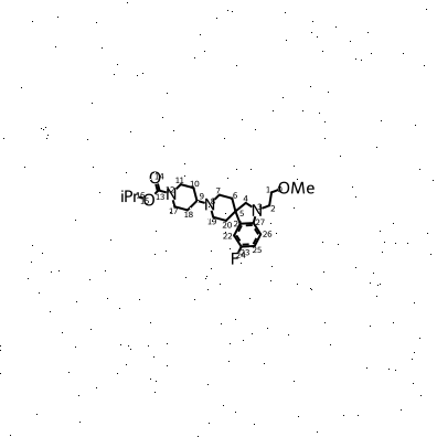 COCCN1CC2(CCN(C3CCN(C(=O)OC(C)C)CC3)CC2)c2cc(F)ccc21